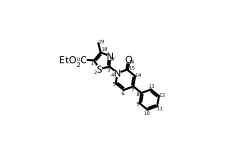 CCOC(=O)c1sc(-n2ccc(-c3ccccc3)cc2=O)nc1C